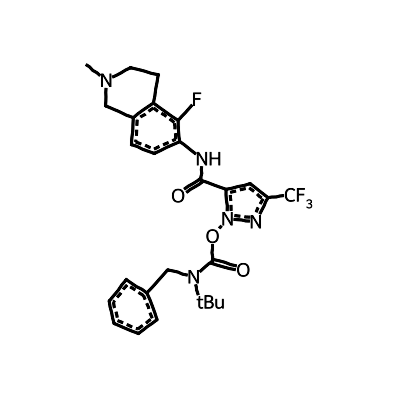 CN1CCc2c(ccc(NC(=O)c3cc(C(F)(F)F)nn3OC(=O)N(Cc3ccccc3)C(C)(C)C)c2F)C1